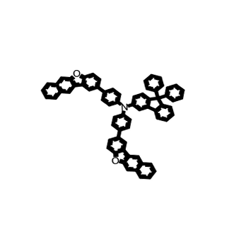 c1ccc(C2(c3ccccc3)c3ccccc3-c3cc(N(c4ccc(-c5ccc6oc7cc8ccccc8cc7c6c5)cc4)c4ccc(-c5ccc6oc7cc8ccccc8cc7c6c5)cc4)ccc32)cc1